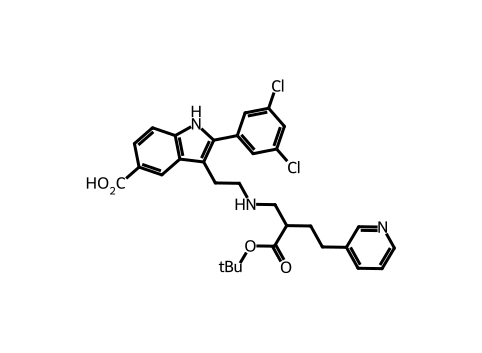 CC(C)(C)OC(=O)C(CCc1cccnc1)CNCCc1c(-c2cc(Cl)cc(Cl)c2)[nH]c2ccc(C(=O)O)cc12